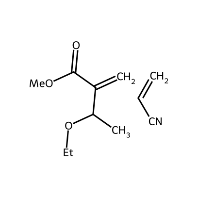 C=C(C(=O)OC)C(C)OCC.C=CC#N